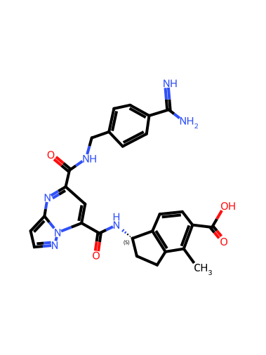 Cc1c(C(=O)O)ccc2c1CC[C@@H]2NC(=O)c1cc(C(=O)NCc2ccc(C(=N)N)cc2)nc2ccnn12